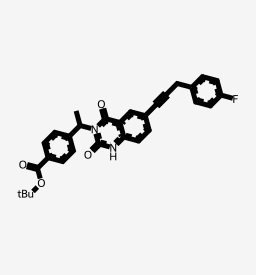 CC(c1ccc(C(=O)OC(C)(C)C)cc1)n1c(=O)[nH]c2ccc(C#CCc3ccc(F)cc3)cc2c1=O